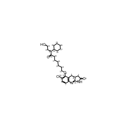 O=C1CN2Cc3c(ccc(Cl)c3OCCCCCCC(=O)N(CCO)C3CCCCC3)N=C2N1